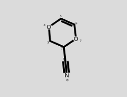 N#CC1COC=CO1